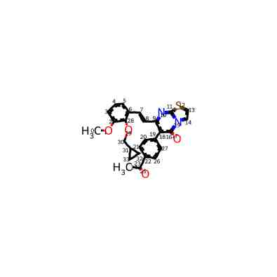 COc1cccc(C=Cc2nc3sccn3c(=O)c2-c2ccc(C(C)=O)cc2)c1OCC1CC1